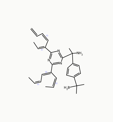 BC(C)(C)c1ccc(C(C)(N)c2nc(C(/C=C\C=C)=C/C)nc(C(/C=C\C)=C/C=C\C)n2)cc1